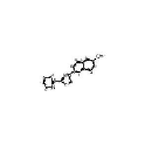 COc1ccc2cc(C3COC(c4ccccn4)=N3)ccc2c1